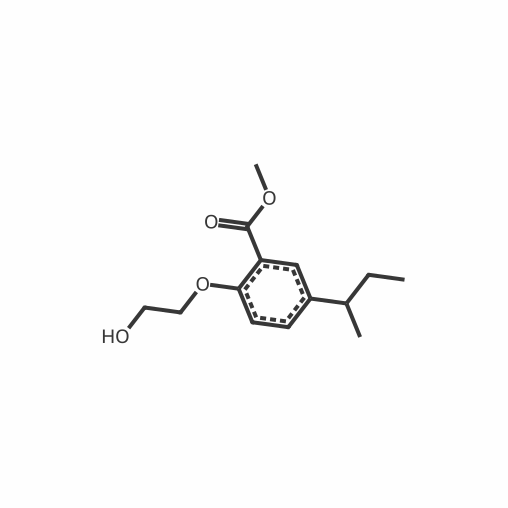 CCC(C)c1ccc(OCCO)c(C(=O)OC)c1